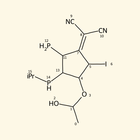 CC(O)OC1C(I)C(=C(C#N)C#N)C(P)C1PC(C)C